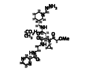 CC(=O)O.COCC(=O)N(C1CC1)[C@@H](CC(=O)NC[C@@H]1CCCN(C=NN)C1)C(=O)NCCNC(=O)c1cnccn1